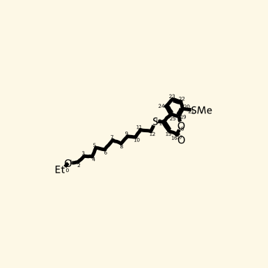 CCOCCCCCCCCCCCSc1cc(=O)oc2c(SC)cccc12